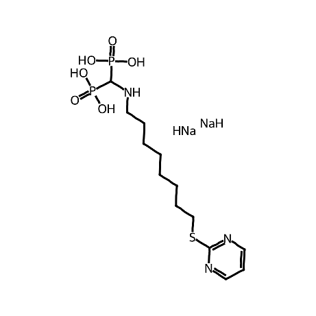 O=P(O)(O)C(NCCCCCCCCSc1ncccn1)P(=O)(O)O.[NaH].[NaH]